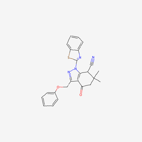 CC1(C)CC(=O)c2c(COc3ccccc3)nn(-c3nc4ccccc4s3)c2C1C#N